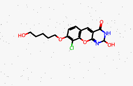 O=C1NC(O)N=C2Oc3c(ccc(OCCCCCO)c3Cl)C=C12